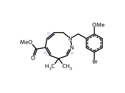 COC(=O)C1=C/C(C)(C)/C=N\N(Cc2cc(Br)ccc2OC)C/C=C\1